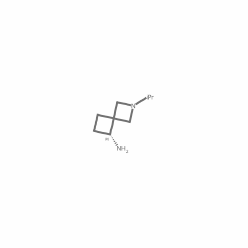 CC(C)N1CC2(CC[C@H]2N)C1